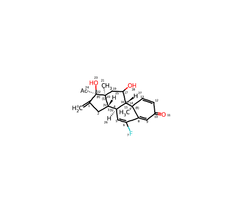 C=C1C[C@H]2[C@@H]3C=C(F)C4=CC(=O)C=C[C@]4(C)[C@H]3C(O)C[C@]2(C)[C@@]1(O)C(C)=O